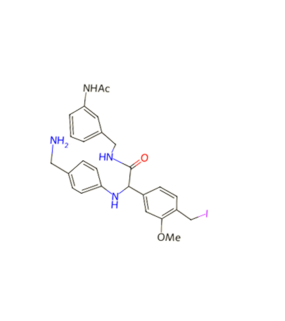 COc1cc(C(Nc2ccc(CN)cc2)C(=O)NCc2cccc(NC(C)=O)c2)ccc1CI